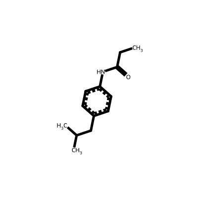 CCC(=O)Nc1ccc(CC(C)C)cc1